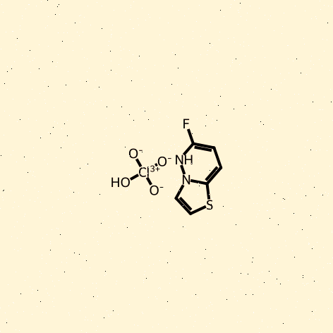 FC1=CC=C2SC=CN2N1.[O-][Cl+3]([O-])([O-])O